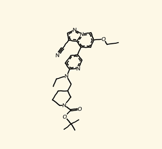 CCOc1cc(-c2ccc(N(CC)CC3CCCN(C(=O)OC(C)(C)C)C3)nc2)c2c(C#N)cnn2c1